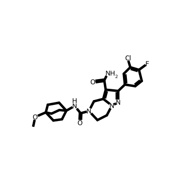 COC12CCC(NC(=O)N3CCn4nc(-c5ccc(F)c(Cl)c5)c(C(N)=O)c4C3)(CC1)CC2